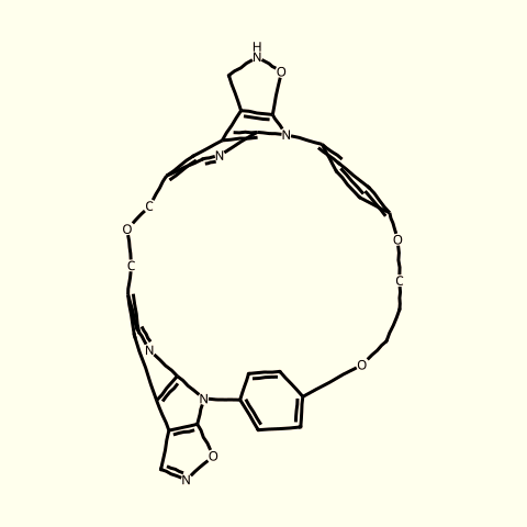 c1nc2c3cc1COCc1cnc4c(c1)c1cnoc1n4-c1ccc(cc1)OCCCOc1ccc(cc1)-n2c1c3CNO1